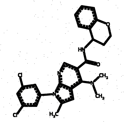 Cc1cc2c(N(C)C)c(C(=O)NC3CCOc4ccccc43)cnc2n1-c1cc(Cl)cc(Cl)c1